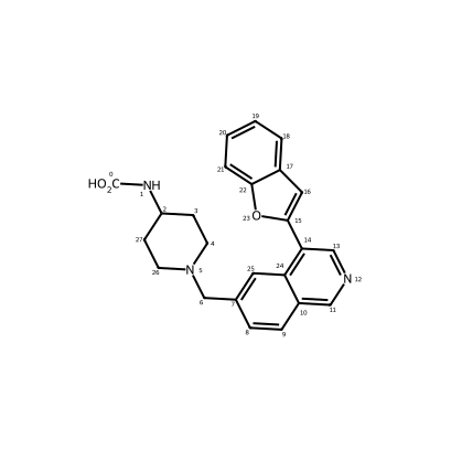 O=C(O)NC1CCN(Cc2ccc3cncc(-c4cc5ccccc5o4)c3c2)CC1